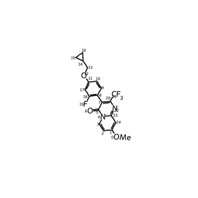 COc1ccn2c(=O)c(-c3ccc(OCC4CC4)cc3F)c(C(F)(F)F)nc2c1